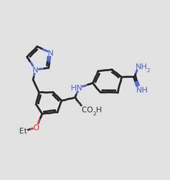 CCOc1cc(Cn2ccnc2)cc(C(Nc2ccc(C(=N)N)cc2)C(=O)O)c1